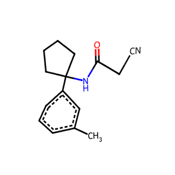 Cc1cccc(C2(NC(=O)CC#N)CCCC2)c1